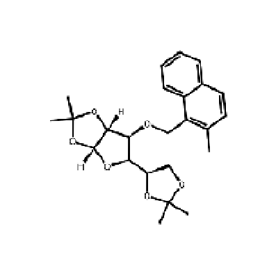 Cc1ccc2ccccc2c1CO[C@@H]1[C@H]2OC(C)(C)O[C@H]2O[C@@H]1[C@H]1COC(C)(C)O1